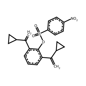 C=C(c1cccc(C(=C)C2CC2)c1OS(=O)(=O)c1ccc([N+](=O)[O-])cc1)C1CC1